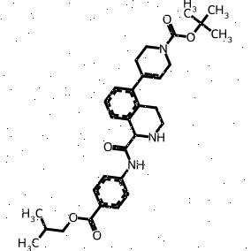 CC(C)COC(=O)c1ccc(NC(=O)C2NCCc3c(C4=CCN(C(=O)OC(C)(C)C)CC4)cccc32)cc1